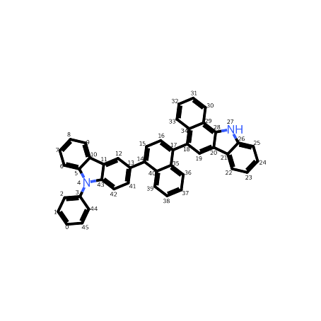 c1ccc(-n2c3ccccc3c3cc(-c4ccc(-c5cc6c7ccccc7[nH]c6c6ccccc56)c5ccccc45)ccc32)cc1